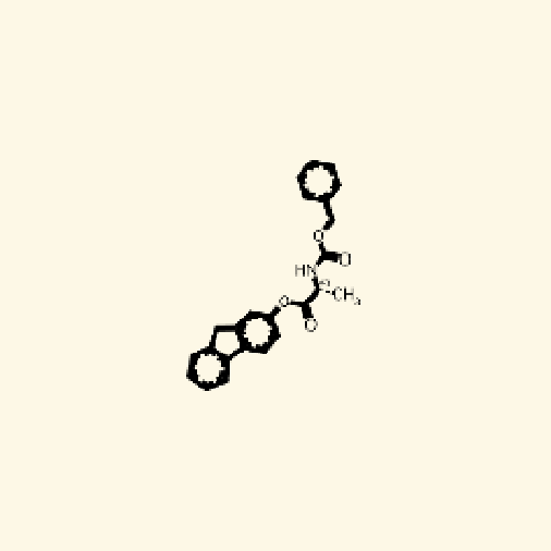 C[C@@H](NC(=O)OCc1ccccc1)C(=O)Oc1ccc2c(c1)Cc1ccccc1-2